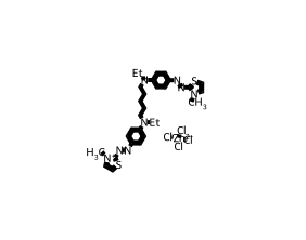 CCN(CCCCCN(CC)c1ccc(N=Nc2scc[n+]2C)cc1)c1ccc(N=Nc2scc[n+]2C)cc1.[Cl][Zn-2]([Cl])([Cl])[Cl]